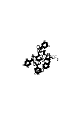 COc1ccc(Cc2c(C(F)(F)F)nn(CCC#N)c2O[C@@H]2O[C@H](COC(=O)c3ccccc3)[C@@H](F)[C@H](OC(=O)c3ccccc3)[C@H]2OC(=O)c2ccccc2)cc1